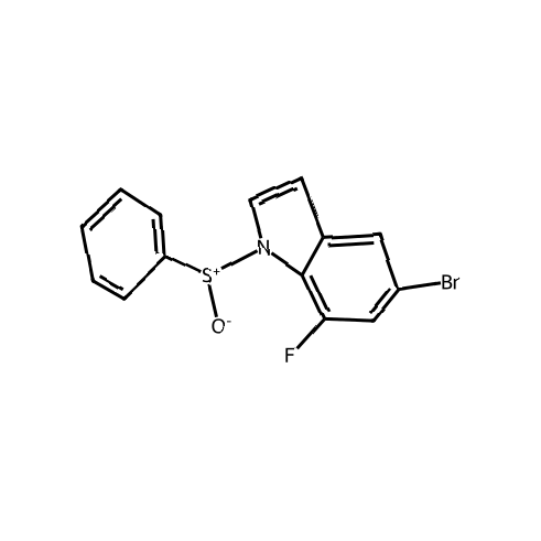 [O-][S+](c1ccccc1)n1ccc2cc(Br)cc(F)c21